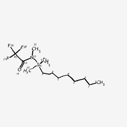 CCCCCCCC[Si](C)(C)N(C)C(=O)C(F)(F)F